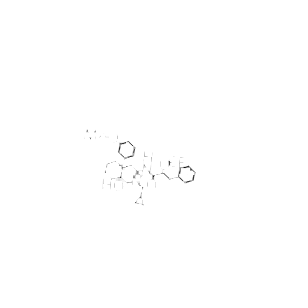 COc1cccc([C@@]23CCCCC2(O)CN(CC2CC2)[C@H](NC(=O)C(=Cc2ccccc2)OC(F)(F)F)C3)c1